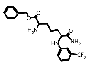 NC(=O)[C@H](CCCC(N)C(=O)OCc1ccccc1)Nc1cccc(C(F)(F)F)c1